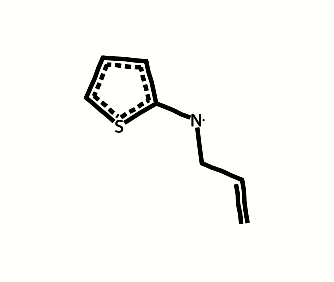 C=CC[N]c1cccs1